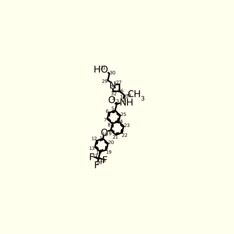 C[C@H](NC(=O)c1ccc2c(Oc3ccc(C(F)(F)F)cc3)cccc2c1)C1CN(CCO)C1